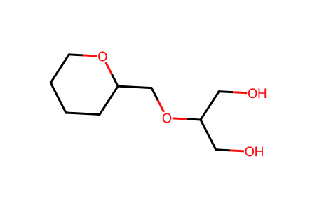 OCC(CO)OCC1CCCCO1